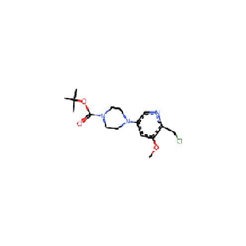 COc1cc(N2CCN(C(=O)OC(C)(C)C)CC2)cnc1CCl